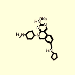 CCCCNc1ncc2c(n1)N([C@H]1CC[C@H](N)CC1)Cc1cc(CNC3CCCC3)ccc1-2